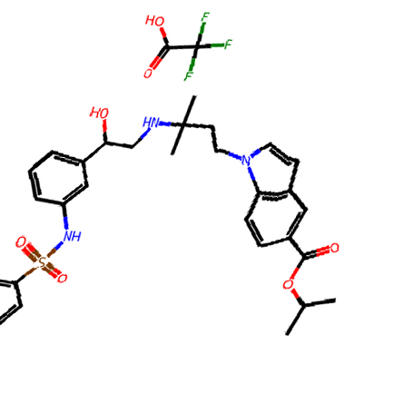 CC(C)OC(=O)c1ccc2c(ccn2CCC(C)(C)NCC(O)c2cccc(NS(=O)(=O)c3ccccc3)c2)c1.O=C(O)C(F)(F)F